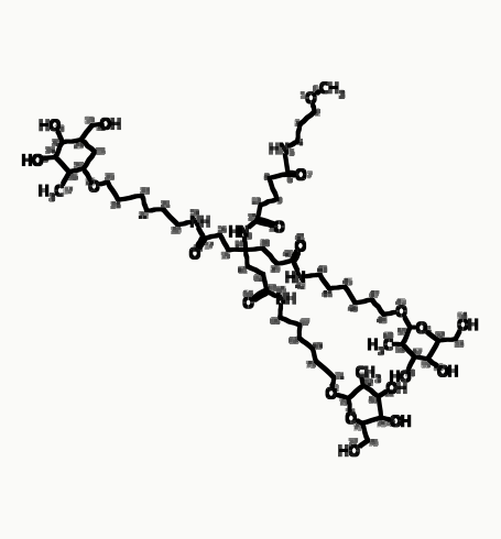 COCCCNC(=O)CCCC(=O)NC(CCC(=O)NCCCCCCOC1CC(CO)C(O)C(O)C1C)(CCC(=O)NCCCCCCOC1OC(CO)C(O)C(O)C1C)CCC(=O)NCCCCCCOC1OC(CO)C(O)C(O)C1C